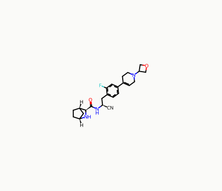 N#C[C@H](Cc1ccc(C2=CCN(C3COC3)CC2)cc1F)NC(=O)[C@H]1N[C@@H]2CC[C@H]1C2